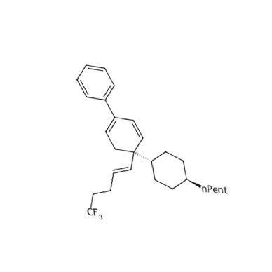 CCCCC[C@H]1CC[C@H](C2(C=CCCC(F)(F)F)C=CC(c3ccccc3)=CC2)CC1